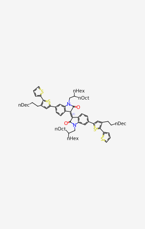 CCCCCCCCCCCCc1cc(-c2ccc3c(c2)N(CC(CCCCCC)CCCCCCCC)C(=O)/C3=C2/C(=O)N(CC(CCCCCC)CCCCCCCC)c3cc(-c4cc(CCCCCCCCCCCC)c(-c5cccs5)s4)ccc32)sc1-c1cccs1